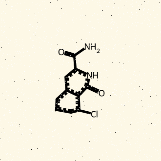 NC(=O)c1cc2cccc(Cl)c2c(=O)[nH]1